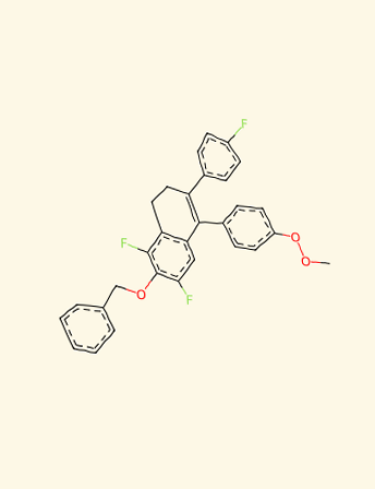 COOc1ccc(C2=C(c3ccc(F)cc3)CCc3c2cc(F)c(OCc2ccccc2)c3F)cc1